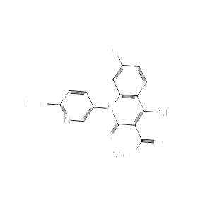 COC(=O)c1c(N)c2ccc(C(F)(F)F)cc2n(-c2ccc(C)nc2)c1=O